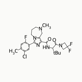 Cc1cc(F)c(-c2nc(C(=O)NC(C(=O)N3CC(F)(F)C3)C(C)(C)C)c3n2CCCN(C)C3)cc1Cl